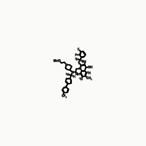 [2H]C1=C(SC([2H])([2H])c2cccc(F)c2F)N(CC(=O)N(C2CCN(CCOC)CC2)C([2H])([2H])c2ccc(-c3ccc(C(F)(F)F)cc3)cc2)c2c([2H])c([2H])c(C)c([2H])c2C1O